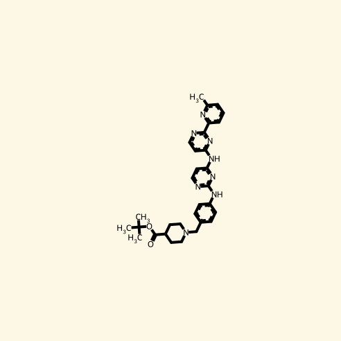 Cc1cccc(-c2nccc(Nc3ccnc(Nc4ccc(CN5CCC(C(=O)OC(C)(C)C)CC5)cc4)n3)n2)n1